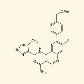 COCc1ccc(-c2cc3c(NCc4n[nH]cc4C)c(C(N)=O)cnc3cc2F)cn1